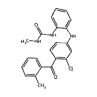 CNC(=O)Nc1ccccc1Nc1ccc(C(=O)c2ccccc2C)c(Cl)c1